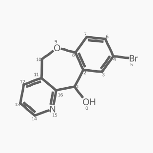 OC1c2cc(Br)ccc2OCc2cccnc21